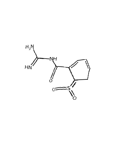 N=C(N)NC(=O)C1=CC=CCC1=S(=O)=O